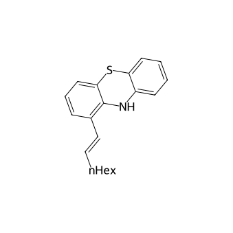 CCCCCCC=Cc1cccc2c1Nc1ccccc1S2